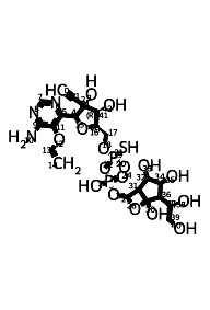 C#C[C@]1(O)C(c2ncnc(N)c2OC=C)O[C@H](COP(=O)(S)OP(=O)(O)OC2OC3(O)C2C(O)C(O)C3[C@@H](O)CO)[C@H]1O